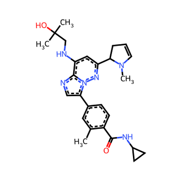 Cc1cc(-c2cnc3c(NCC(C)(C)O)cc(C4CC=CN4C)nn23)ccc1C(=O)NC1CC1